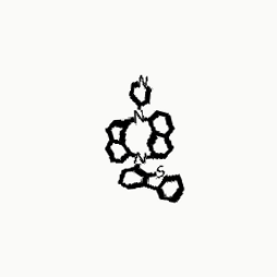 c1ccc2c(c1)sc1c(-n3c4ccc5cccc(c5c4)n(-c4ccncc4)c4ccc5cccc3c5c4)cccc12